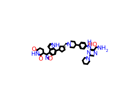 NC(O)c1ncc(N2CCCCC2)nc1Nc1ccc(C2CCN(C[C@H]3CCC(c4cc5onc(C6CCC(=O)NC6=O)c5c5cc[nH]c45)C3)CC2)cc1